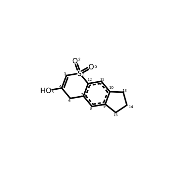 O=S1(=O)C=C(O)Cc2cc3c(cc21)CCC3